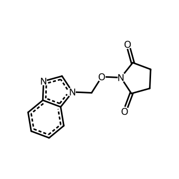 O=C1CCC(=O)N1OCn1cnc2ccccc21